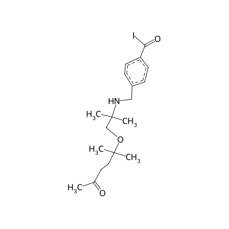 CC(=O)CCC(C)(C)OCC(C)(C)NCc1ccc(C(=O)I)cc1